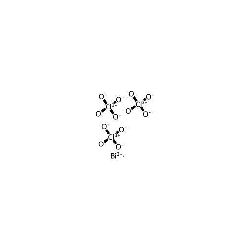 [Bi+3].[O-][Cl+3]([O-])([O-])[O-].[O-][Cl+3]([O-])([O-])[O-].[O-][Cl+3]([O-])([O-])[O-]